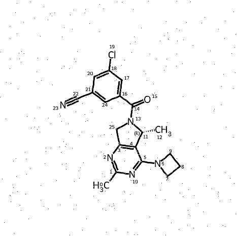 Cc1nc2c(c(N3CCC3)n1)[C@@H](C)N(C(=O)c1cc(Cl)cc(C#N)c1)C2